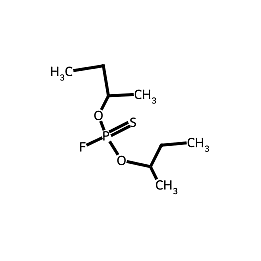 CCC(C)OP(F)(=S)OC(C)CC